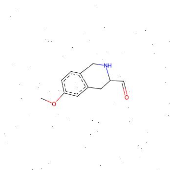 COc1ccc2c(c1)CC([C]=O)NC2